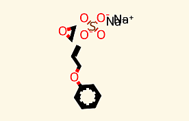 C1CO1.C=CCOc1ccccc1.O=S(=O)([O-])[O-].[Na+].[Na+]